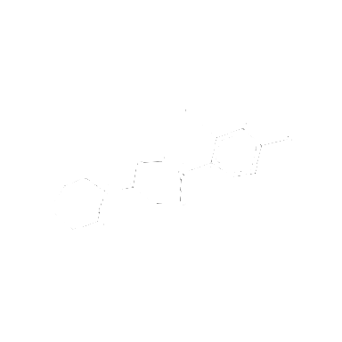 Nc1ccc(N2CCC(N3CCOCC3)CC2)c(F)c1